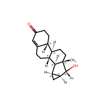 CC(=O)[C@@]1(O)[C@H]2C[C@H]2[C@H]2[C@@H]3CCC4=CC(=O)CC[C@@H]4[C@H]3CC[C@@]21C